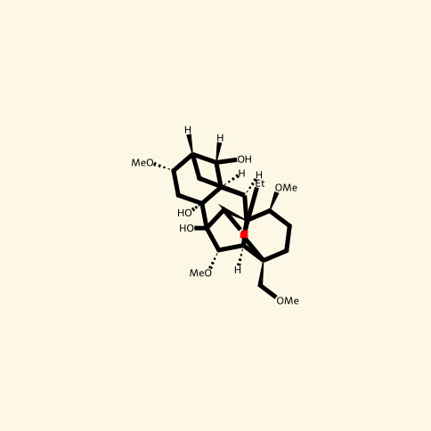 CCN1C[C@]2(COC)CC[C@H](OC)[C@]34C1C(O)([C@@H](OC)[C@H]23)[C@@]1(O)C[C@H](OC)[C@H]2C[C@@H]4[C@@H]1[C@H]2O